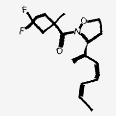 C=C(/C=C\C=C/C)[C@@H]1CCON1C(=O)C1(C)CC(F)(F)C1